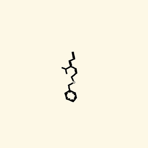 C=C/C=C(\C=C/COCc1ccccc1)C(C)C